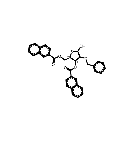 O=C(OC[C@H]1SC(O)C(OCc2ccccc2)[C@H]1OC(=O)c1ccc2ccccc2c1)c1ccc2ccccc2c1